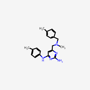 Cc1ccc(CN(C)Cc2cc(Nc3ccc(C)cc3)nc(N)n2)cc1